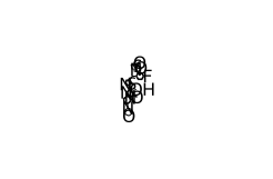 O=c1c(O)c(-c2ncc(Cc3ccc(F)cc3N3CCCS3(=O)=O)s2)nc2ccc(N3CCOCC3)cn12